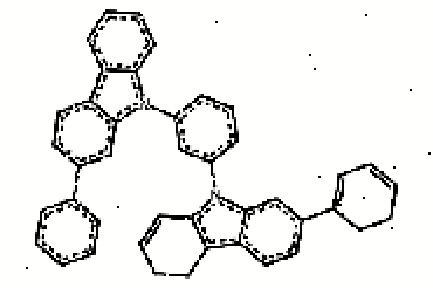 C1=CCCC(c2ccc3c4c(n(-c5cccc(-n6c7ccccc7c7ccc(-c8ccccc8)cc76)c5)c3c2)C=CCC4)=C1